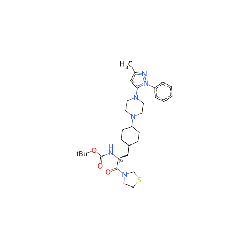 Cc1cc(N2CCN(C3CCC(C[C@H](NC(=O)OC(C)(C)C)C(=O)N4CCSC4)CC3)CC2)n(-c2ccccc2)n1